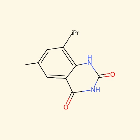 Cc1cc(C(C)C)c2[nH]c(=O)[nH]c(=O)c2c1